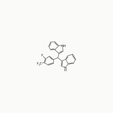 Fc1cc(C(c2c[nH]c3ccccc23)c2c[nH]c3ccccc23)ccc1C(F)(F)F